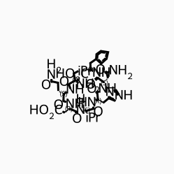 CC(C)C[C@@H](N)C(=O)N[C@@H](CCC(N)=O)C(=O)N[C@H](CC(=O)O)C(=O)N[C@H](C(=O)N[C@H](Cc1c[nH]cn1)C(=O)N[C@@H](CC(N)=O)C(=O)N[C@H](Cc1ccccc1)C(=O)O)C(C)C